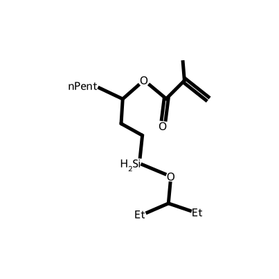 C=C(C)C(=O)OC(CCCCC)CC[SiH2]OC(CC)CC